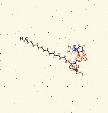 CCCCCCCCCCCCCCCCOC(C)C(COP1(=O)OC2CC[N+](C)(C)C2O1)OC(C)=O